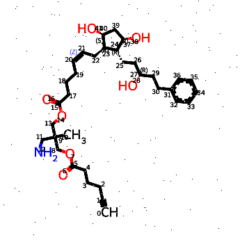 C#CCCCC(=O)OCC(C)(CN)COC(=O)CCC/C=C\C[C@@H]1[C@@H](CC[C@@H](O)CCc2ccccc2)[C@H](O)C[C@@H]1O